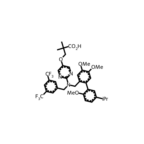 COc1cc(CN(Cc2cc(C(F)(F)F)cc(C(F)(F)F)c2)c2ncc(OCC(C)(C)C(=O)O)cn2)c(-c2cc(C(C)C)ccc2OC)cc1OC